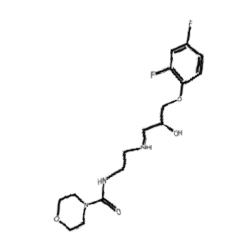 O=C(NCCNC[C@H](O)COc1ccc(F)cc1F)N1CCOCC1